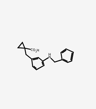 O=C(O)C1(Cc2cccc(NCc3ccccc3)c2)CC1